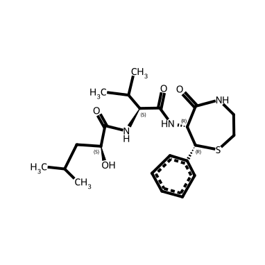 CC(C)C[C@H](O)C(=O)N[C@H](C(=O)N[C@@H]1C(=O)NCCS[C@@H]1c1ccccc1)C(C)C